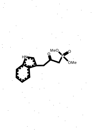 COP(=O)(CC(=O)Cc1c[nH]c2ccccc12)OC